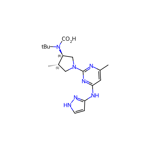 Cc1cc(Nc2cc[nH]n2)nc(N2C[C@H](C)[C@@H](N(C(=O)O)C(C)(C)C)C2)n1